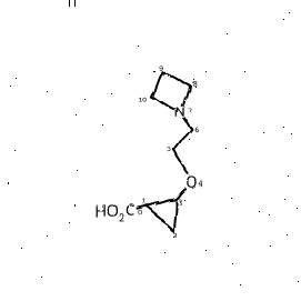 O=C(O)C1CC1OCCN1CCC1